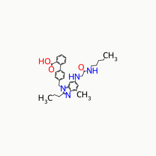 CCCCCNC(=O)CNc1cc(C)c2nc(CCC)n(Cc3ccc(-c4ccccc4C(=O)O)cc3)c2c1